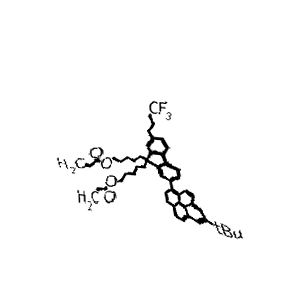 C=CC(=O)OCCCCCC1(CCCCCOC(=O)C=C)c2cc(CCCC(F)(F)F)ccc2-c2ccc(-c3ccc4ccc5cc(C(C)(C)C)cc6ccc3c4c56)cc21